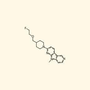 Cn1c2ccncc2c2ccc(N3CCC(COCCF)CC3)nc21